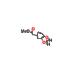 [2H]C1([2H])Oc2ccc(CC(=O)OC)cc2O1